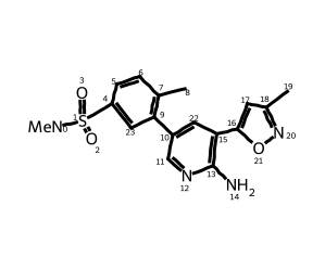 CNS(=O)(=O)c1ccc(C)c(-c2cnc(N)c(-c3cc(C)no3)c2)c1